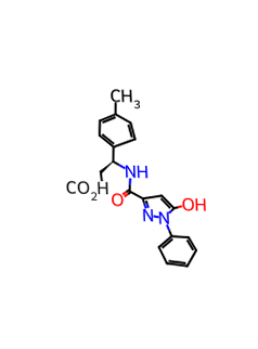 Cc1ccc([C@H](CC(=O)O)NC(=O)c2cc(O)n(-c3ccccc3)n2)cc1